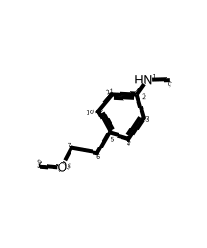 CNc1ccc(CCOC)cc1